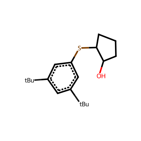 CC(C)(C)c1cc(SC2CCCC2O)cc(C(C)(C)C)c1